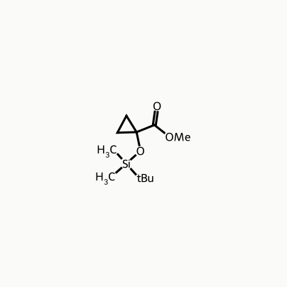 COC(=O)C1(O[Si](C)(C)C(C)(C)C)CC1